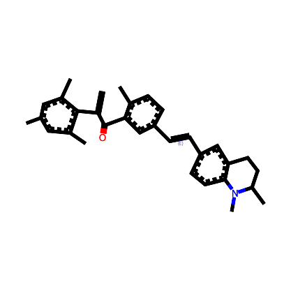 C=C(C(=O)c1cc(/C=C/c2ccc3c(c2)CCC(C)N3C)ccc1C)c1c(C)cc(C)cc1C